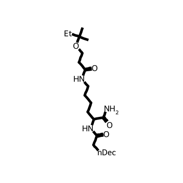 CCCCCCCCCCCC(=O)NC(CCCCNC(=O)CCOC(C)(C)CC)C(N)=O